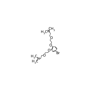 CN(C)CCOCCOc1ccc(Br)cc1OCCOCCN(C)C